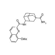 COc1cccc2ccc(C(=O)NC3C4CC5CC3CC(C(N)=O)(C5)C4)nc12